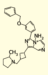 CC1CCCN1CC1CC(C2=C3C=NC=C[N+]3(N)C(c3cccc(OCc4ccccc4)c3)=N2)C1